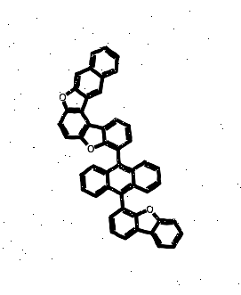 c1ccc2cc3c(cc2c1)oc1ccc2oc4c(-c5c6ccccc6c(-c6cccc7c6oc6ccccc67)c6ccccc56)cccc4c2c13